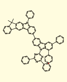 CC1(C)c2ccccc2-c2cc3c4cc(-c5ccc6c(c5)c5cc(-c7ccccc7)cc(-c7ccccc7)c5n6-c5nc(-c6ccccc6)nc(-c6ccccc6)n5)ccc4n(-c4ccccc4)c3cc21